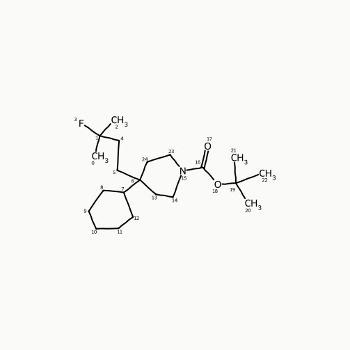 CC(C)(F)CCC1(C2CCCCC2)CCN(C(=O)OC(C)(C)C)CC1